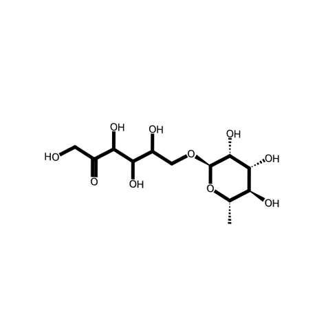 C[C@@H]1O[C@@H](OCC(O)C(O)C(O)C(=O)CO)[C@H](O)[C@H](O)[C@H]1O